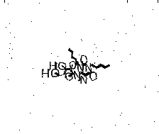 CCCCCn1c(=O)c2ncn(C3O[C@H](CO)[C@@H](O)[C@H]3O)c2n(CCCCC)c1=O